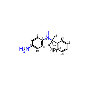 CC(C)CC(C)(Nc1ccc(N)cc1)c1ccccc1